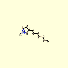 CCCCCCCC1CCN(C)C1